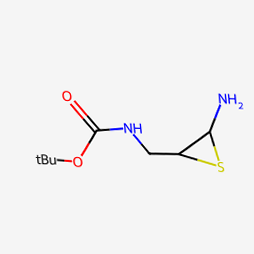 CC(C)(C)OC(=O)NCC1SC1N